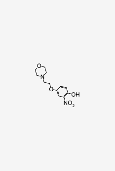 O=[N+]([O-])c1cc(OCCN2CCOCC2)ccc1O